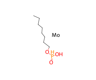 CCCCCCCCO[PH](=O)O.[Mo]